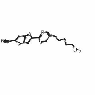 CCCCCCc1cnc(-c2cc3sc(C#N)cc3s2)nc1